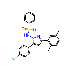 Cc1ccc(C)c(-c2cc(-c3ccc(Cl)cc3)n(NS(=O)(=O)c3ccccc3)n2)c1